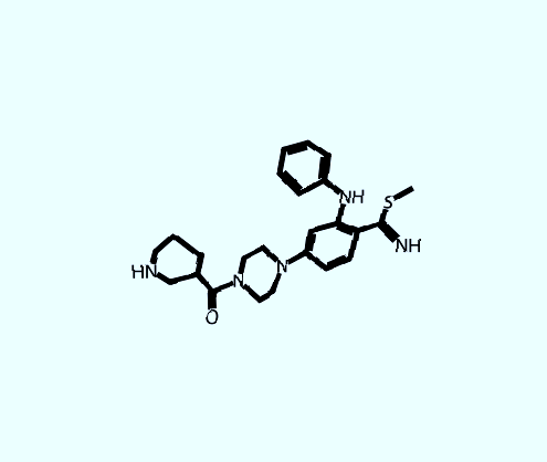 CSC(=N)c1ccc(N2CCN(C(=O)C3CCCNC3)CC2)cc1Nc1ccccc1